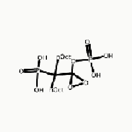 CCCCCCCCC(CCCCCCCC)(C1(OP(=O)(O)O)OO1)P(=O)(O)O